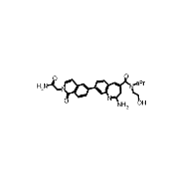 CCCN(CCO)C(=O)C1=Cc2ccc(-c3ccc4c(=O)n(CC(N)=O)ccc4c3)cc2N=C(N)C1